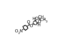 CC1(C)O[C@H]2C[C@@H](OC(=O)c3ccc([N+](=O)[O-])cc3)C[C@H]2O1